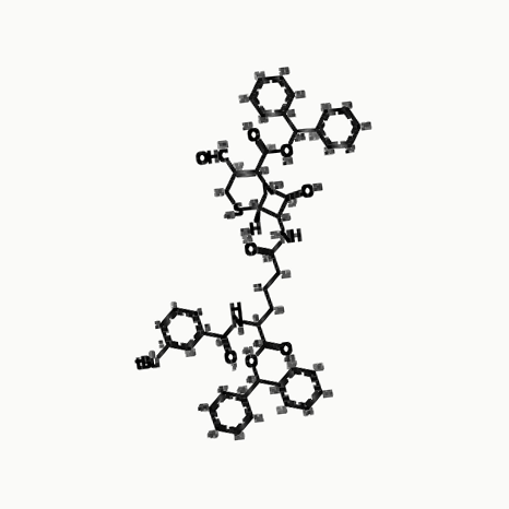 CC(C)(C)c1cccc(C(=O)NC(CCCC(=O)NC2C(=O)N3C(C(=O)OC(c4ccccc4)c4ccccc4)=C(C=O)CS[C@@H]23)C(=O)OC(c2ccccc2)c2ccccc2)c1